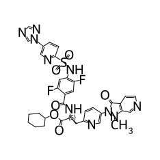 Cn1c2cnccc2c(=O)n1-c1ccc(C[C@H](NC(=O)c2cc(F)c(NS(=O)(=O)c3ccc(-n4cncn4)cn3)cc2F)C(=O)OC2CCCCC2)nc1